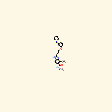 CNC(=O)c1ccc2[nH]c(CCCOc3cccc(CN4CCCC4)c3)nc2c1C